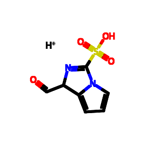 O=CC1N=C(S(=O)(=O)O)n2cccc21.[H+]